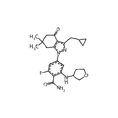 CC1(C)CC(=O)c2c(CC3CC3)nn(-c3cc(F)c(C(N)=O)c(NC4CCOC4)c3)c2C1